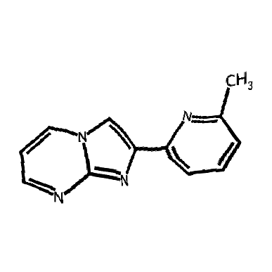 Cc1cccc(-c2cn3cccnc3n2)n1